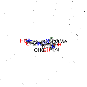 COc1cc(F)c(-c2cnc(N3CCC(NCc4ccc(/C=C/C(=O)NO)cc4)CC3)c(C#N)c2-c2ccc(C#N)nc2)cc1O.O=CO